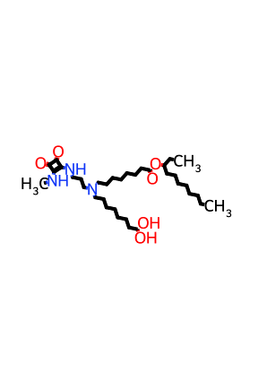 CCCCCCCCC(CC)OC(=O)CCCCCCCN(CCCCCCCC(O)O)CCCNc1c(NC)c(=O)c1=O